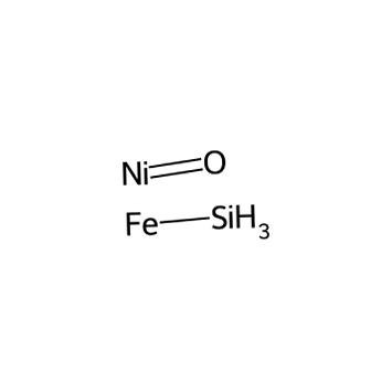 [O]=[Ni].[SiH3][Fe]